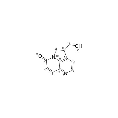 O=c1ccc2nccc3c2n1CC3CO